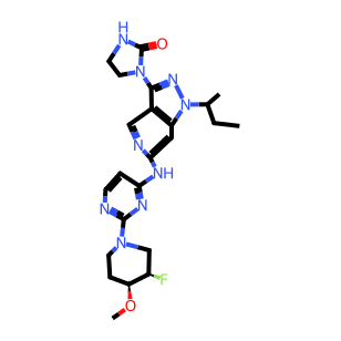 CCC(C)n1nc(N2CCNC2=O)c2cnc(Nc3ccnc(N4CC[C@H](OC)[C@H](F)C4)n3)cc21